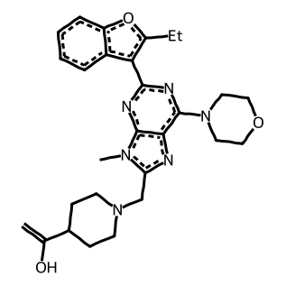 C=C(O)C1CCN(Cc2nc3c(N4CCOCC4)nc(-c4c(CC)oc5ccccc45)nc3n2C)CC1